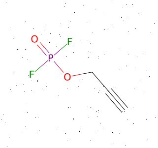 C#CCOP(=O)(F)F